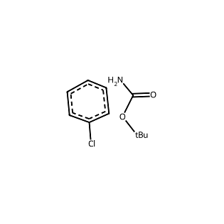 CC(C)(C)OC(N)=O.Clc1ccccc1